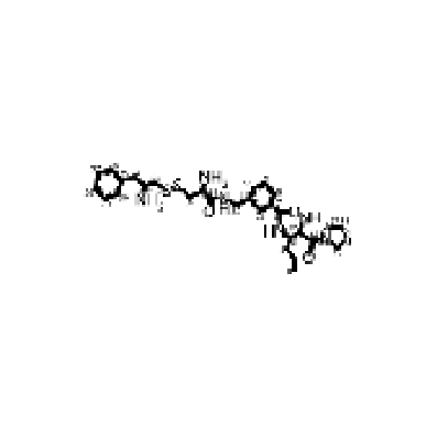 CCCC(NC(=O)c1cccc(CNC(=O)C(N)CSSCC(N)Cc2ccccc2)c1)C(N)C(=O)N1CCSC1